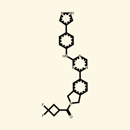 O=C(C1CC(F)(F)C1)N1Cc2ccc(-c3ncnc(Nc4ccc(-c5cn[nH]c5)cc4)n3)cc2C1